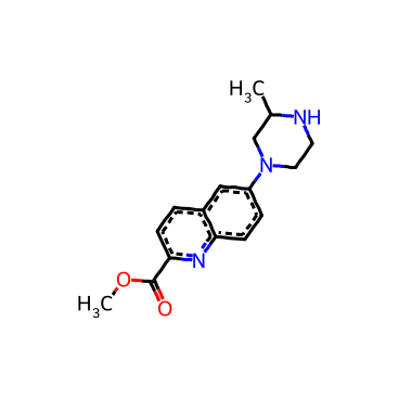 COC(=O)c1ccc2cc(N3CCNC(C)C3)ccc2n1